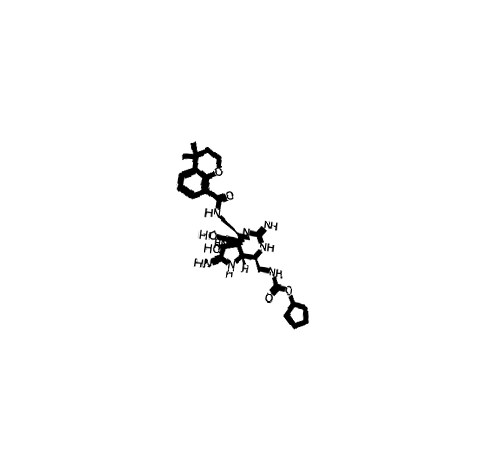 CC1(C)CCOc2c(C(=O)N[C@H]3CN4C(=N)N[C@@H](CNC(=O)OC5CCCC5)[C@@H]5NC(=N)N[C@@]54C3(O)O)cccc21